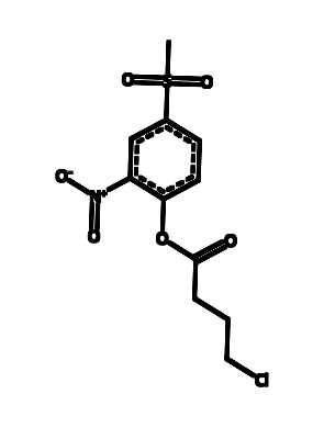 CS(=O)(=O)c1ccc(OC(=O)CCCCl)c([N+](=O)[O-])c1